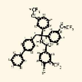 O=C(NC(Cc1ccc(-c2ccccc2)cc1)(c1cccc(OC(F)(F)F)c1)c1cccc(OC(F)(F)F)c1)c1ccc(F)c(C(F)(F)F)c1